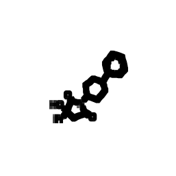 CC(C)C1(O)CC(=O)N(C2CCC(c3ccccc3)CC2)C1=O